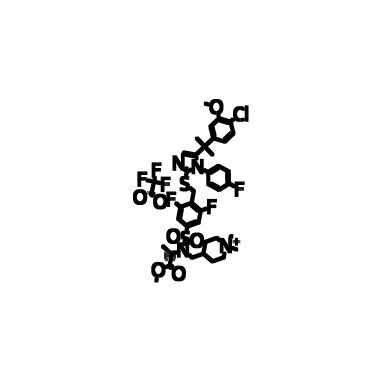 COC(=O)[C@@H](C)N(CC1CC[N+](C)(C)CC1)S(=O)(=O)c1cc(F)c(CSc2ncc(C(C)(C)c3ccc(Cl)c(OC)c3)n2-c2ccc(F)cc2)c(F)c1.O=C([O-])C(F)(F)F